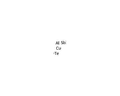 [Al].[Cu].[Sb].[Te]